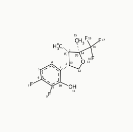 C[C@H]1[C@@H](c2ccc(F)c(F)c2O)CO[C@]1(C)C(F)(F)F